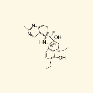 CCc1ccc2c(c1O)[C@@H](CC)C[C@](O)(C(F)(F)F)[C@H]2Nc1cccc2nc(C)ncc12